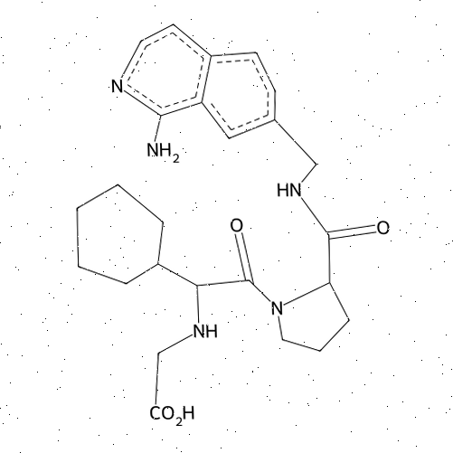 Nc1nccc2ccc(CNC(=O)C3CCCN3C(=O)C(NCC(=O)O)C3CCCCC3)cc12